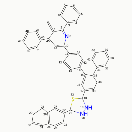 C=C1C(c2ccccc2)=NC(c2ccc(C3=CC(C4NNC(c5ccc6c(c5)CCC=C6)S4)=CCC3c3ccccc3)cc2)=CC1c1ccccc1